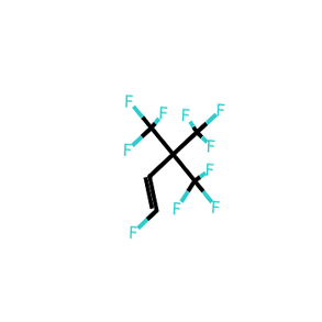 FC=CC(C(F)(F)F)(C(F)(F)F)C(F)(F)F